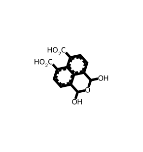 O=C(O)c1ccc2c3c(ccc(C(=O)O)c13)C(O)OC2O